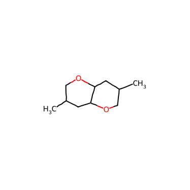 CC1COC2CC(C)COC2C1